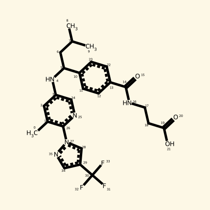 Cc1cc(NC(CC(C)C)c2ccc(C(=O)NCCC(=O)O)cc2)cnc1-n1cc(C(F)(F)F)cn1